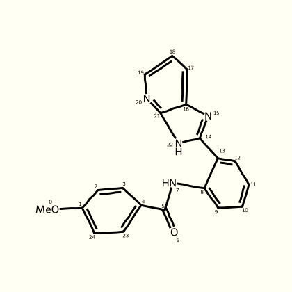 COc1ccc(C(=O)Nc2ccccc2-c2nc3cccnc3[nH]2)cc1